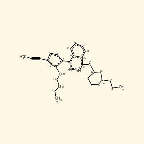 CC#Cc1ccc(-c2nnc(NC3CCCN(CCO)C3)c3ccccc23)c(OCOCC)c1